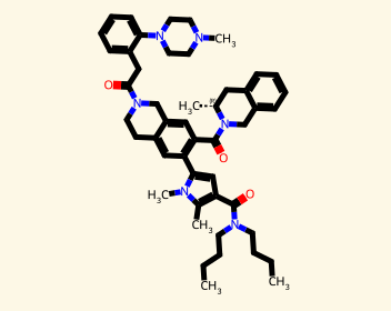 CCCCN(CCCC)C(=O)c1cc(-c2cc3c(cc2C(=O)N2Cc4ccccc4C[C@H]2C)CN(C(=O)Cc2ccccc2N2CCN(C)CC2)CC3)n(C)c1C